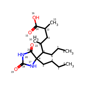 CCCCC1(C(CCC)C(C)CC(C)C(=O)O)NC(=O)NC1=O